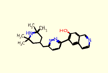 CC1(C)CC(Cc2ccc(-c3cc4ccncc4cc3O)nn2)CC(C)(C)N1